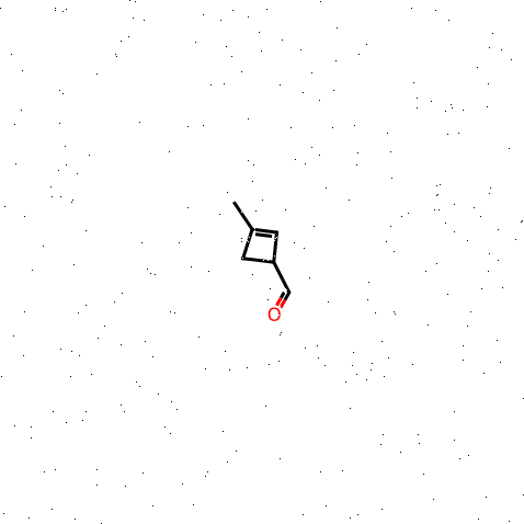 CC1=CC(C=O)C1